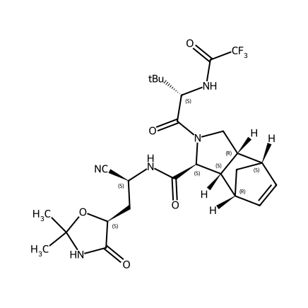 CC1(C)NC(=O)[C@H](C[C@@H](C#N)NC(=O)[C@@H]2[C@@H]3[C@H](CN2C(=O)[C@@H](NC(=O)C(F)(F)F)C(C)(C)C)[C@@H]2C=C[C@H]3C2)O1